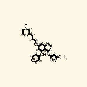 Cc1cc(Nc2ncnc3cc(OCCCC4CNCCO4)cc(OC4CCOCC4)c23)on1